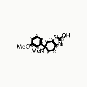 CNC1(c2cccc(OC)c2)CCc2nc(O)sc2C1